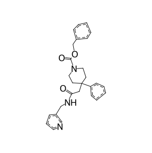 O=C(CC1(c2ccccc2)CCN(C(=O)OCc2ccccc2)CC1)NCc1cccnc1